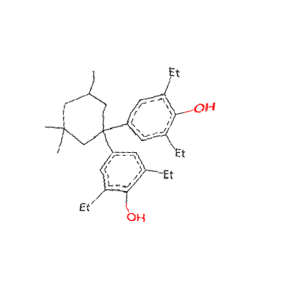 CCc1cc(C2(c3cc(CC)c(O)c(CC)c3)CC(C)CC(C)(C)C2)cc(CC)c1O